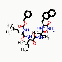 CC[C@H](C)C(NC(=O)[C@H](CCC(C)C)NC(=O)OCc1ccccc1)C(=O)C(=O)NC(C)(C)C(=O)N[C@@H](Cc1ccc2ccccc2c1)C(N)=O